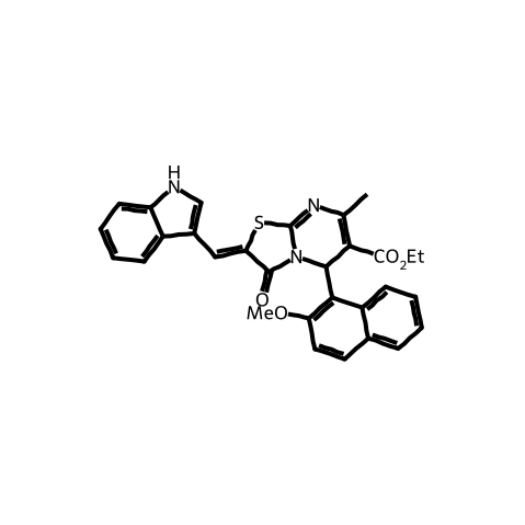 CCOC(=O)C1=C(C)N=c2s/c(=C\c3c[nH]c4ccccc34)c(=O)n2C1c1c(OC)ccc2ccccc12